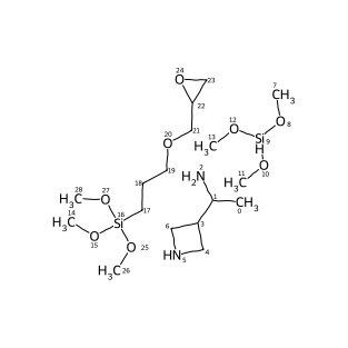 CC(N)C1CNC1.CO[SiH](OC)OC.CO[Si](CCCOCC1CO1)(OC)OC